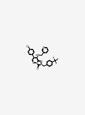 O=c1n(Cc2ccc(C(F)(F)F)cc2)nc2c(NCc3cccnc3)c(-c3ccc(Cl)cc3)cnn12